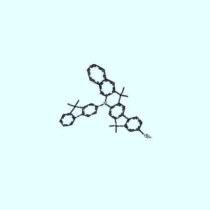 CC(C)(C)c1ccc2c(c1)C(C)(C)c1cc3c(cc1-2)C(C)(C)c1cc2ccccc2cc1N3c1ccc2c(c1)C(C)(C)c1ccccc1-2